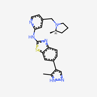 Cc1[nH]ncc1-c1ccc2nc(Nc3cc(CN4CCC[C@H]4C)ccn3)sc2c1